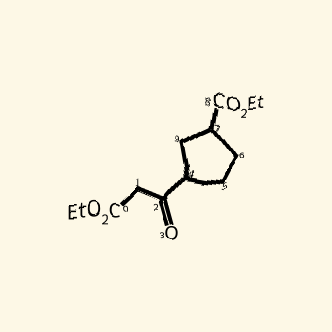 CCOC(=O)CC(=O)C1CCC(C(=O)OCC)C1